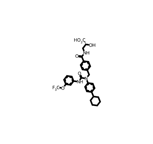 O=C(NC[C@@H](O)C(=O)O)c1ccc(CN(C(=O)Nc2cccc(OC(F)(F)F)c2)c2ccc(C3CCCCC3)cc2)cc1